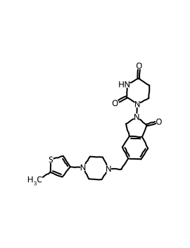 Cc1cc(N2CCN(Cc3ccc4c(c3)CN(N3CCC(=O)NC3=O)C4=O)CC2)cs1